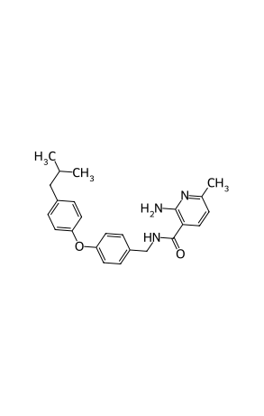 Cc1ccc(C(=O)NCc2ccc(Oc3ccc(CC(C)C)cc3)cc2)c(N)n1